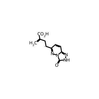 C=C(C[CH]c1ccc2n[nH]c(=O)n2n1)C(=O)O